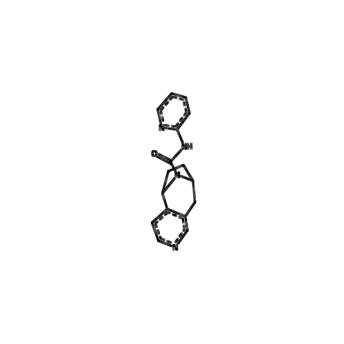 O=C(Nc1ccccn1)N1C2CCC1c1ccncc1C2